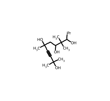 CC(C)C(O)C(C)(C)C(O)CC(C)(O)C#CC(C)(C)O